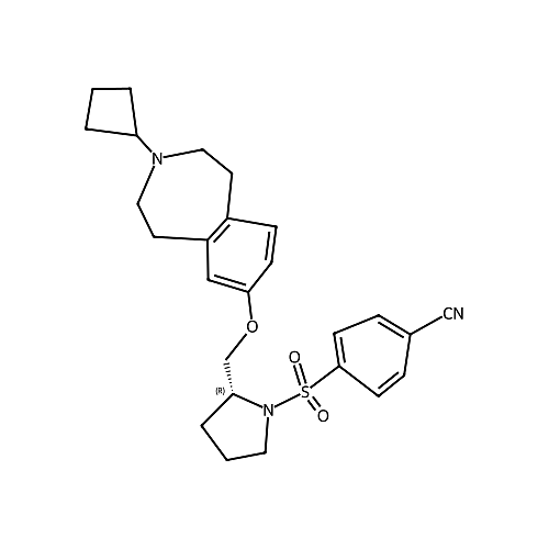 N#Cc1ccc(S(=O)(=O)N2CCC[C@@H]2COc2ccc3c(c2)CCN(C2CCC2)CC3)cc1